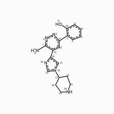 Nc1nnc(-c2ccccc2O)cc1-c1cn(C2CCNCC2)cn1